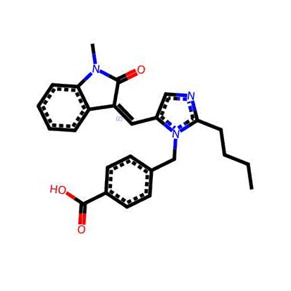 CCCCc1ncc(/C=C2\C(=O)N(C)c3ccccc32)n1Cc1ccc(C(=O)O)cc1